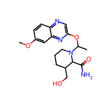 COc1ccc2ncc(OC(C)N3CC[CH]C(CO)C3C(N)=O)nc2c1